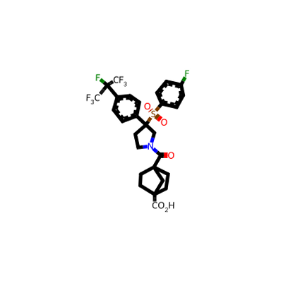 O=C(O)C12CCC(C(=O)N3CCC(c4ccc(C(F)(C(F)(F)F)C(F)(F)F)cc4)(S(=O)(=O)c4ccc(F)cc4)C3)(CC1)C2